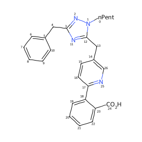 CCCCCn1nc(Cc2ccccc2)nc1Cc1ccc(-c2ccccc2C(=O)O)nc1